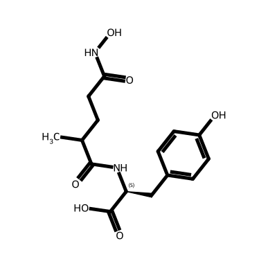 CC(CCC(=O)NO)C(=O)N[C@@H](Cc1ccc(O)cc1)C(=O)O